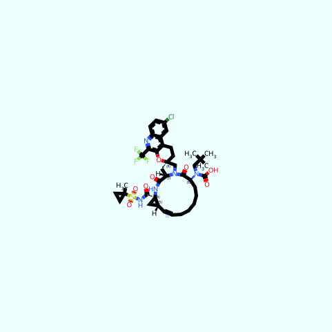 CC(C)(C)CN(C(=O)O)[C@H]1CCCCC/C=C\[C@@H]2C[C@@]2(C(=O)NS(=O)(=O)C2(C)CC2)NC(=O)[C@@H]2C[C@]3(CCc4c(c(C(F)(F)F)nc5ccc(Cl)cc45)O3)CN2C1=O